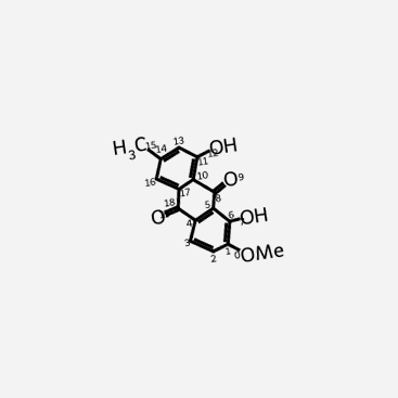 COc1ccc2c(c1O)C(=O)c1c(O)cc(C)cc1C2=O